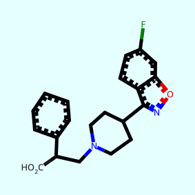 O=C(O)C(CN1CCC(c2noc3cc(F)ccc23)CC1)c1ccccc1